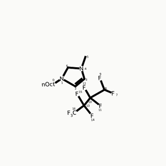 CCCCCCCCN1C=CN(C)C1.FC(F)C(F)(F)C(F)(F)C(F)(F)F